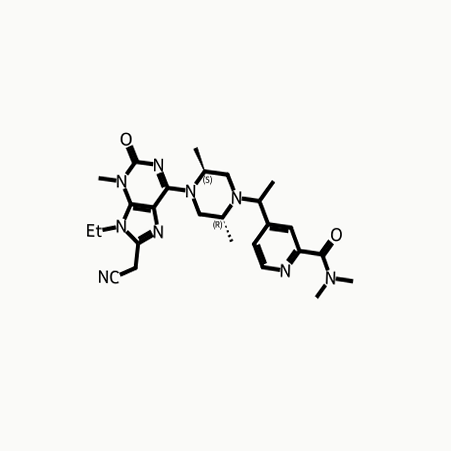 CCn1c(CC#N)nc2c(N3C[C@@H](C)N(C(C)c4ccnc(C(=O)N(C)C)c4)C[C@@H]3C)nc(=O)n(C)c21